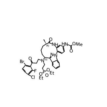 CCOP(=O)(CCN(CCC(=O)c1c(Br)ccc(Cl)c1F)[C@H]1CCC[C@@H](C)C(=O)Nc2cc(NC(=O)OC)ccc2-n2nc1c1ccccc12)OCC